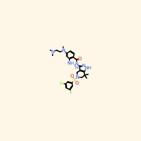 CN(C)CCN(C)c1ccc(C(=O)Nc2n[nH]c3c2CN(S(=O)(=O)c2cc(F)cc(F)c2)CC3(C)C)c(N)c1